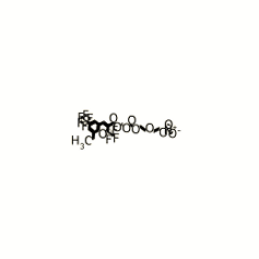 CCc1cc(S(F)(F)(F)(F)F)cc2c1O[C@H](C(F)(F)F)C(C(=O)OCOC(=O)OCCOCCO[N+](=O)[O-])=C2